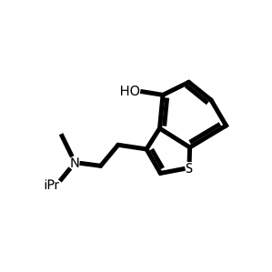 CC(C)N(C)CCc1csc2cccc(O)c12